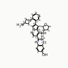 CCc1cc(O)ccc1/N=C(\N)c1cnn2cc(-c3cnccc3N3CC(N)C3)cc2c1NC1CCOC1